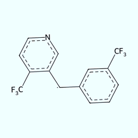 FC(F)(F)c1cccc([CH]c2cnccc2C(F)(F)F)c1